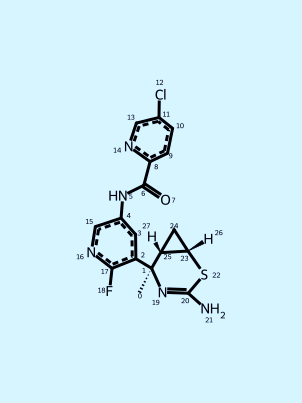 C[C@@]1(c2cc(NC(=O)c3ccc(Cl)cn3)cnc2F)N=C(N)S[C@H]2C[C@H]21